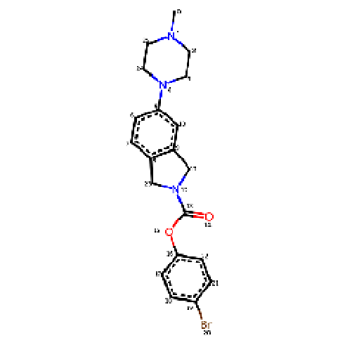 CN1CCN(c2ccc3c(c2)CN(C(=O)Oc2ccc(Br)cc2)C3)CC1